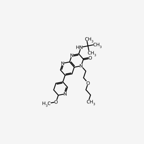 CCCOCCn1c(=O)c(NC(C)(C)C)nc2ncc(C3=CCC(OC)N=C3)cc21